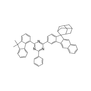 CC1(C)c2ccccc2-c2c(-c3nc(-c4ccccc4)nc(-c4ccc5c(c4)-c4cc6ccccc6cc4C54C5CC6CC(C5)CC4C6)n3)cccc21